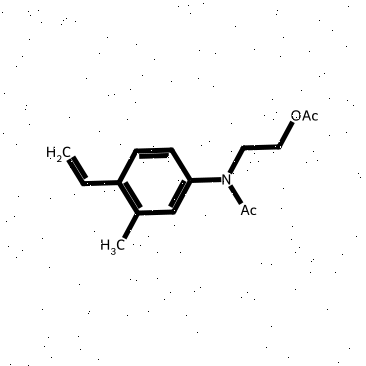 C=Cc1ccc(N(CCOC(C)=O)C(C)=O)cc1C